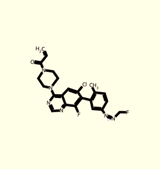 C=CC(=O)N1CCN(c2ncnc3c(F)c(-c4cc(/N=N\CF)ccc4C)c(Cl)cc23)CC1